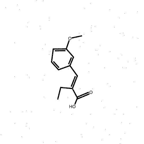 CC/C(=C\c1cccc(OC)c1)C(=O)O